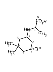 CC(NC1CCCC(C)(C)C1)C(=O)O.Cl